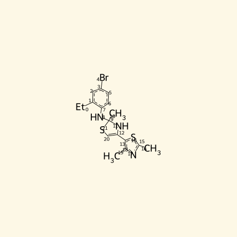 CCc1cc(Br)ccc1NC1(C)NC(c2sc(C)nc2C)=CS1